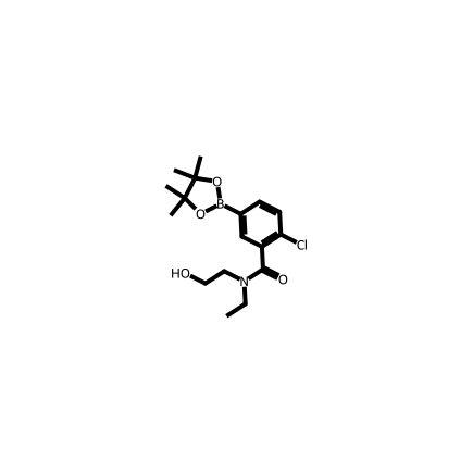 CCN(CCO)C(=O)c1cc(B2OC(C)(C)C(C)(C)O2)ccc1Cl